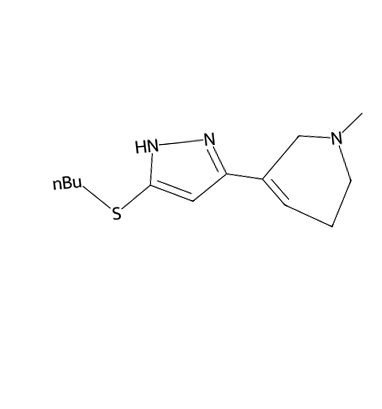 CCCCSc1cc(C2=CCCN(C)C2)n[nH]1